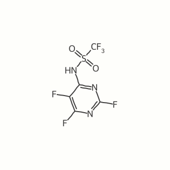 O=S(=O)(Nc1nc(F)nc(F)c1F)C(F)(F)F